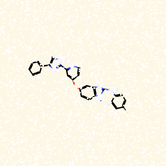 Cn1c(Nc2ccc(C(C)(C)C)cc2)nc2cc(Oc3ccnc(-c4nc(-c5ccccc5)c(C(F)(F)F)[nH]4)c3)ccc21